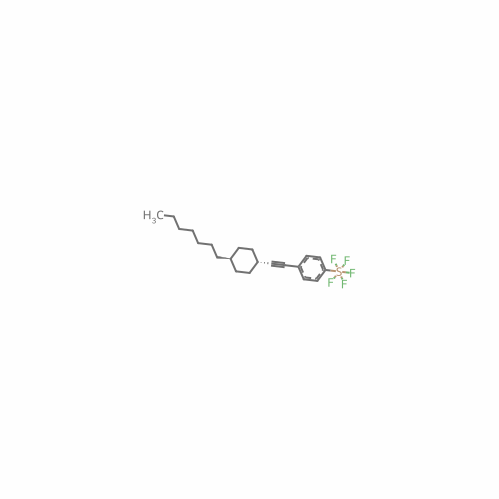 CCCCCCC[C@H]1CC[C@H](C#Cc2ccc(S(F)(F)(F)(F)F)cc2)CC1